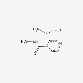 NCC(=O)O.NNC(=O)c1ccncc1